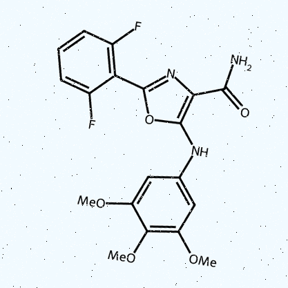 COc1cc(Nc2oc(-c3c(F)cccc3F)nc2C(N)=O)cc(OC)c1OC